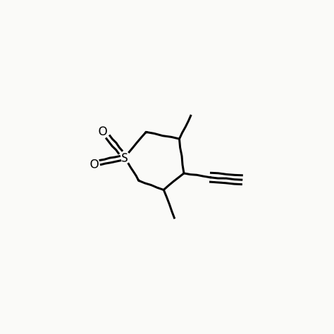 C#CC1C(C)CS(=O)(=O)CC1C